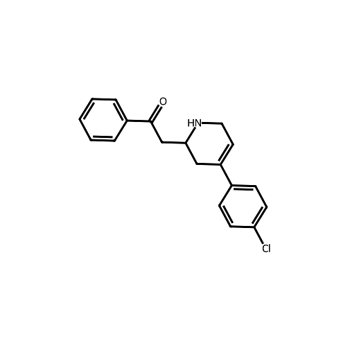 O=C(CC1CC(c2ccc(Cl)cc2)=CCN1)c1ccccc1